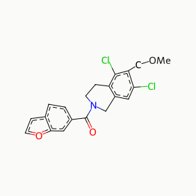 COCc1c(Cl)cc2c(c1Cl)CCN(C(=O)c1ccc3ccoc3c1)C2